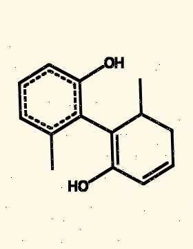 Cc1cccc(O)c1C1=C(O)C=CCC1C